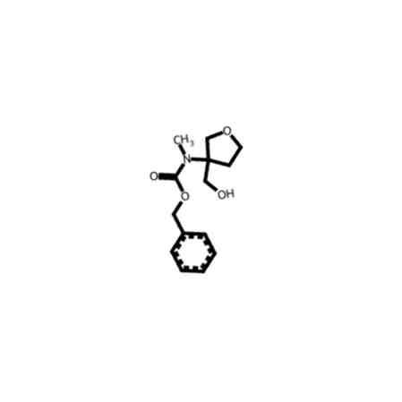 CN(C(=O)OCc1ccccc1)C1(CO)CCOC1